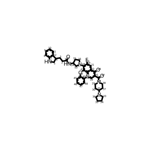 O=C(CCC1CNc2ccccc21)NC1CCN(c2c(F)cc3c(=O)c(C(=O)N4CCC(N5CCCC5)CC4)cn4c3c2Oc2ccccc2-4)C1